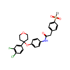 CCS(=O)(=O)c1ccc(CC(=O)Nc2ccc(OC3(c4ccc(Cl)c(F)c4)CCOCC3)cc2)cc1